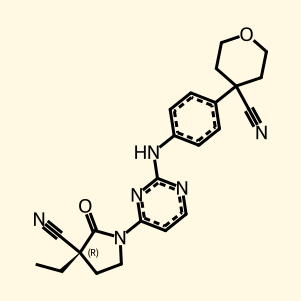 CC[C@]1(C#N)CCN(c2ccnc(Nc3ccc(C4(C#N)CCOCC4)cc3)n2)C1=O